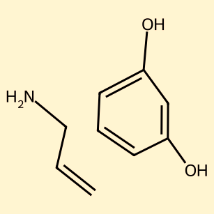 C=CCN.Oc1cccc(O)c1